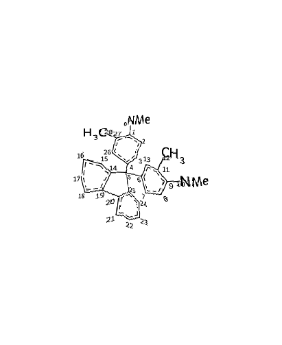 CNc1ccc(C2(c3ccc(NC)c(C)c3)c3ccccc3-c3ccccc32)cc1C